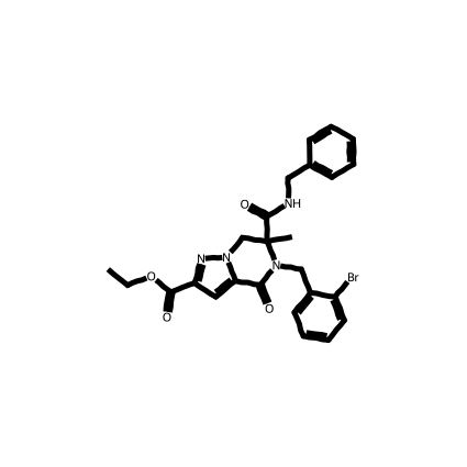 CCOC(=O)c1cc2n(n1)CC(C)(C(=O)NCc1ccccc1)N(Cc1ccccc1Br)C2=O